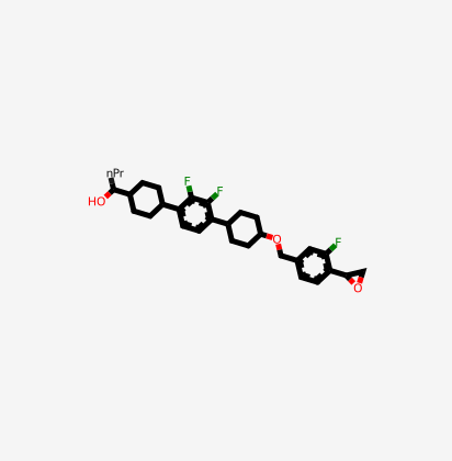 CCCC(O)C1CCC(c2ccc(C3CCC(OCc4ccc(C5CO5)c(F)c4)CC3)c(F)c2F)CC1